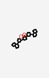 C1=CC2Oc3c(ccc4c3oc3ccc(-c5cccc6ccccc56)cc34)C2C=C1c1cccc2ccccc12